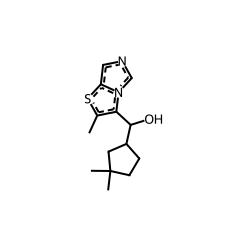 Cc1sc2cncn2c1C(O)C1CCC(C)(C)C1